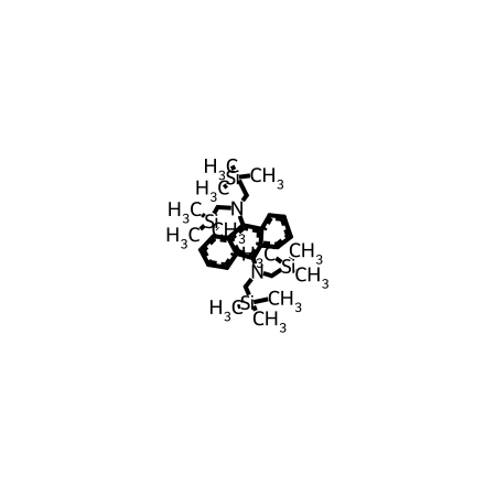 C[Si](C)(C)CN(C[Si](C)(C)C)c1c2ccccc2c(N(C[Si](C)(C)C)C[Si](C)(C)C)c2ccccc12